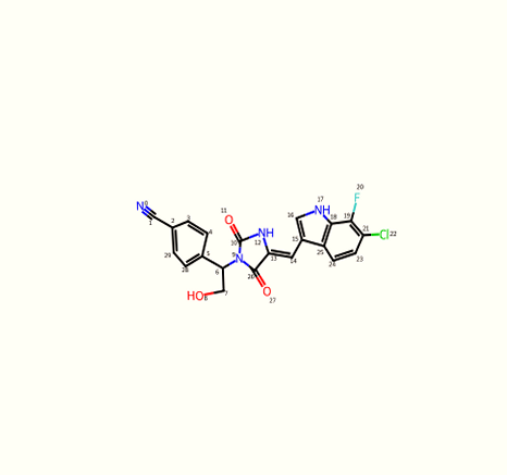 N#Cc1ccc(C(CO)N2C(=O)N/C(=C\c3c[nH]c4c(F)c(Cl)ccc34)C2=O)cc1